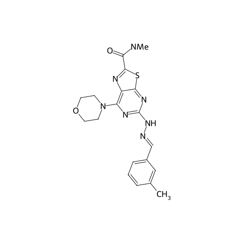 CNC(=O)c1nc2c(N3CCOCC3)nc(N/N=C/c3cccc(C)c3)nc2s1